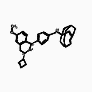 COc1ccc2c(c1)C[C@H](C1CCC1)N[C@@H]2c1ccc(NC23CC4CC(CC(C4)C2)C3)cc1